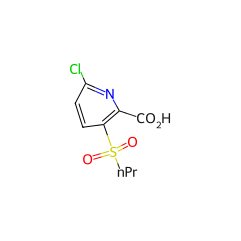 CCCS(=O)(=O)c1ccc(Cl)nc1C(=O)O